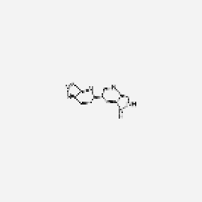 C1=NN=c2ccc(=c3cnc4c(c3)NNC=4)nc21